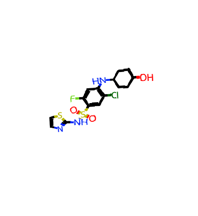 O=S(=O)(Nc1nccs1)c1cc(Cl)c(NC2CCC(O)CC2)cc1F